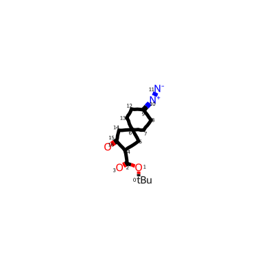 CC(C)(C)OC(=O)C1CC2(CCC(=[N+]=[N-])CC2)CC1=O